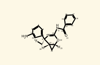 Nc1cccc([C@@]2(CF)N=C(NC(=O)c3ccccc3)O[C@@H]3C[C@@H]32)c1